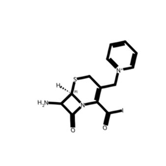 NC1C(=O)N2C(C(=O)I)=C(C[n+]3ccccc3)CS[C@H]12